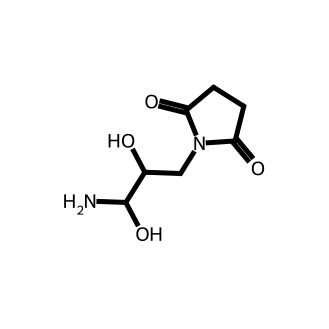 NC(O)C(O)CN1C(=O)CCC1=O